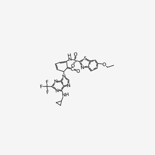 CCOc1ccc2nc(S(=O)(=O)NC3=CC=CC(n4cnc5c(NC6CC6)nc(C(F)(F)F)nc54)C3=C=O)sc2c1